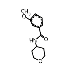 COc1cccc(C(=O)NC2CCOCC2)c1